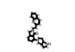 O=C1c2c(cccc2N2CCC3NCCC3C2)CN1CCc1ccc2ccccc2n1